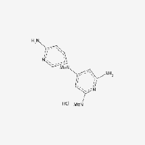 CNc1cc(N)nc(NC)c1.Cl.Nc1ccccn1